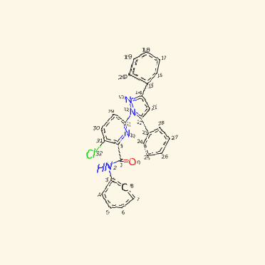 O=C(Nc1ccccc1)c1nc(-n2nc(-c3ccccc3)cc2-c2ccccc2)ccc1Cl